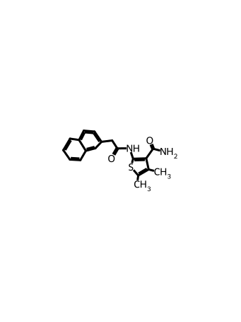 Cc1sc(NC(=O)CC2=C=C=c3ccccc3=C2)c(C(N)=O)c1C